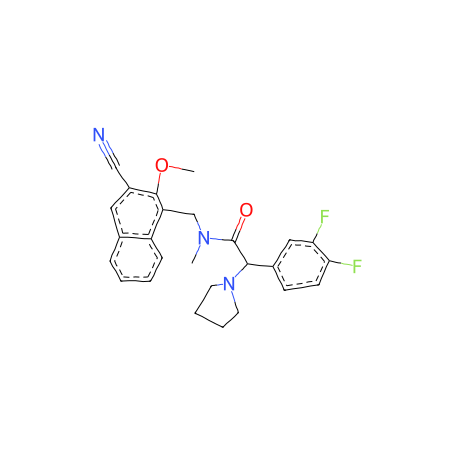 COc1c(C#N)cc2ccccc2c1CN(C)C(=O)C(c1ccc(F)c(F)c1)N1CCCC1